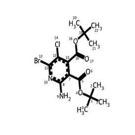 CC(C)(C)OC(=O)c1c(N)nc(Br)c(Cl)c1C(=O)OC(C)(C)C